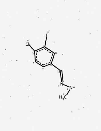 CN/N=C/c1ccc(Cl)c(F)c1